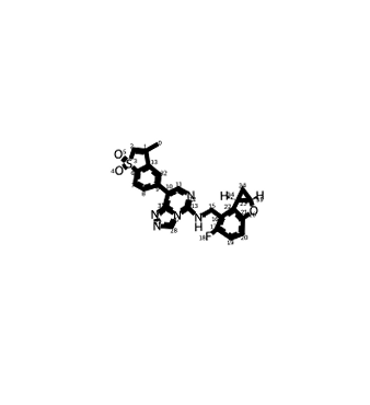 CC1=CS(=O)(=O)c2ccc(-c3cnc(NCc4c(F)ccc5c4[C@H]4C[C@H]4O5)n4cnnc34)cc21